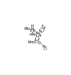 COc1cc2c(Nc3cc(C(C)(C)C)[nH]n3)nc(N3CCC(F)(F)CC3)nc2cc1OCCCN1CCCC1